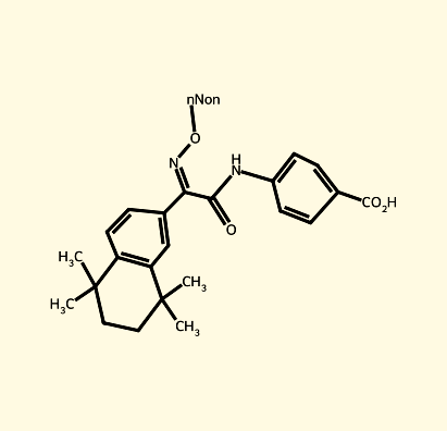 CCCCCCCCCO/N=C(\C(=O)Nc1ccc(C(=O)O)cc1)c1ccc2c(c1)C(C)(C)CCC2(C)C